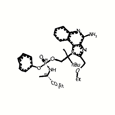 CCCCC(C)(CO[P@](=O)(N[C@@H](C)C(=O)OCC)Oc1ccccc1)n1c(COCC)nc2c(N)nc3ccccc3c21